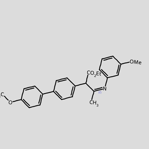 CCOC(=O)C(/C(C)=N\c1cccc(OC)c1)c1ccc(-c2ccc(OC(F)(F)F)cc2)cc1